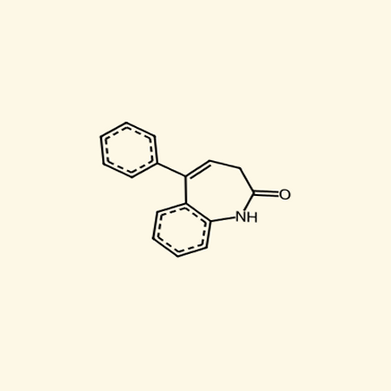 O=C1CC=C(c2ccccc2)c2ccccc2N1